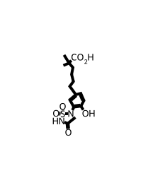 CC(C)(CCCCc1ccc(O)c(N2CC(=O)NS2(=O)=O)c1)C(=O)O